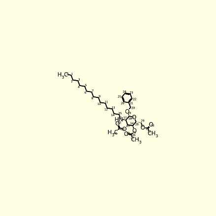 CCCCCCCCCCCCCCCCN[C@H]1[C@H](OCc2ccccc2)O[C@H](COC(C)=O)[C@@H](OC(C)=O)[C@@H]1OC(C)=O